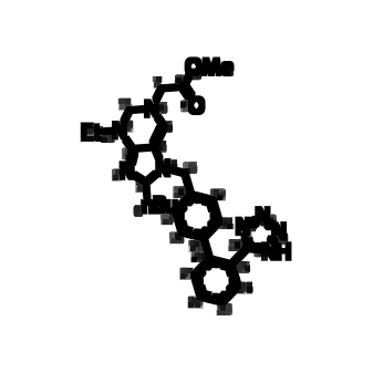 CCCCC1N=C2C(=CN(CC(=O)OC)CN2CC)N1Cc1ccc(-c2ccccc2-c2nnn[nH]2)cc1